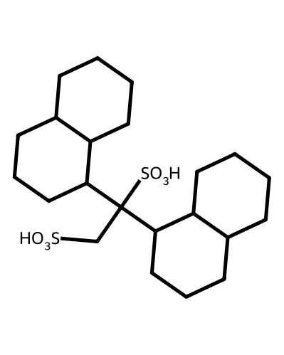 O=S(=O)(O)CC(C1CCCC2CCCCC21)(C1CCCC2CCCCC21)S(=O)(=O)O